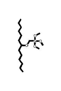 CCCCCCC(CCCCCC)OC[Si](OC)(OC)OC